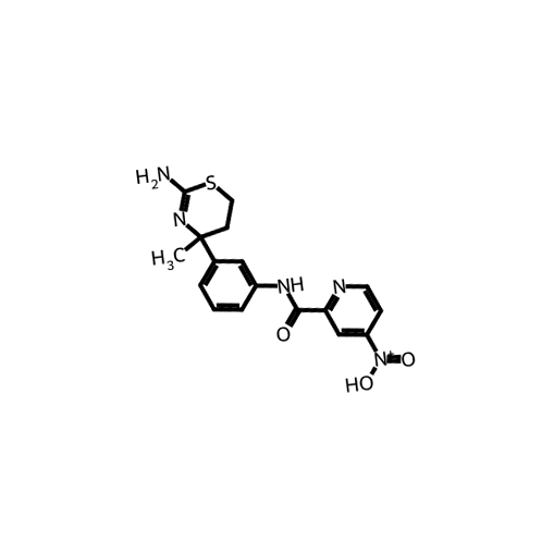 CC1(c2cccc(NC(=O)c3cc([N+](=O)O)ccn3)c2)CCSC(N)=N1